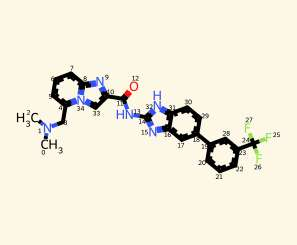 CN(C)Cc1cccc2nc(C(=O)Nc3nc4cc(-c5cccc(C(F)(F)F)c5)ccc4[nH]3)cn12